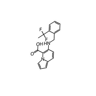 CC(F)(F)c1ccccc1CNc1ccc2cccn2c1C(=O)O